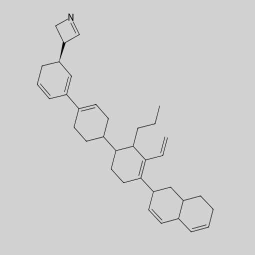 C=CC1=C(C2C=CC3C=CCCC3C2)CCC(C2CC=C(C3=C[C@H](C4C=NC4)CC=C3)CC2)C1CCC